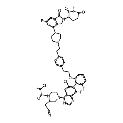 C=C(Cl)C(=O)N1CCN(c2ncnc3c(F)c(-c4c(F)cccc4OCCc4ccc(CCN5CCC(c6cc(F)cc7c6CN(C6CCC(=O)NC6=O)C7=O)CC5)cc4)c(Cl)cc23)CC1CC#N